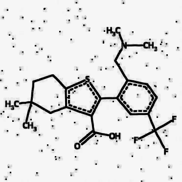 CN(C)Cc1ccc(C(F)(F)F)cc1-c1sc2c(c1C(=O)O)CC(C)(C)CC2